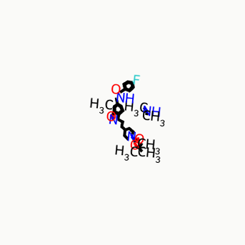 CNC.Cc1c(CNC(=O)c2ccc(F)cc2)ccc2c(CCC3CCN(C(=O)OC(C)(C)C)CC3)noc12